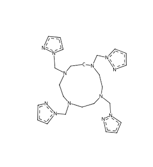 c1cnn(CN2CCN(Cn3cccn3)CCN(Cn3cccn3)CCN(Cn3cccn3)CC2)c1